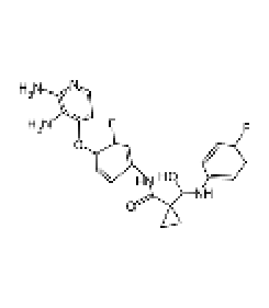 Nc1nccc(OC2C=CC(NC(=O)C3(C(O)NC4=CCC(F)C=C4)CC3)=CC2F)c1N